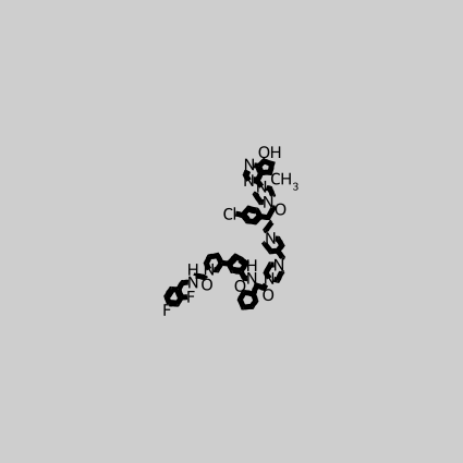 C[C@@H]1C[C@@H](O)c2ncnc(N3CCN(C(=O)[C@H](CCN4CCC(CN5CCN(C(=O)[C@H](NC(=O)c6cccc(C7CCCN(C(=O)CNCc8ccc(F)cc8F)C7)c6)C6CCCCC6)CC5)CC4)c4ccc(Cl)cc4)CC3)c21